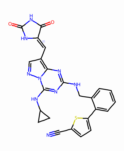 N#Cc1ccc(-c2ccccc2CNc2nc(NC3CC3)n3ncc(/C=C4\NC(=O)NC4=O)c3n2)s1